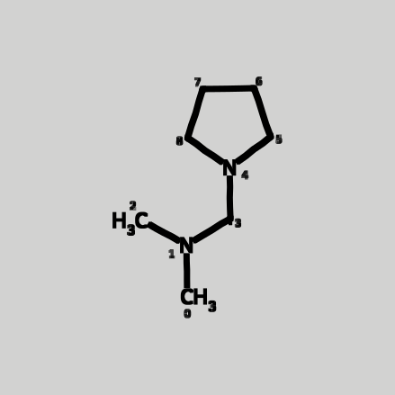 CN(C)[CH]N1CCCC1